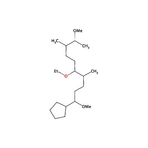 CCOC(CCC(C)[C@@H](C)OC)C(C)CCC(OC)C1CCCC1